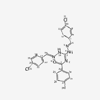 O=C(N=C(NN=Cc1ccc(Cl)cc1)NN=Cc1ccc(Cl)cc1)c1ccc(I)cc1